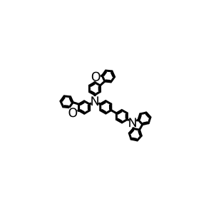 c1ccc2c(c1)oc1ccc(N(c3ccc(-c4ccc(-n5c6ccccc6c6ccccc65)cc4)cc3)c3ccc4oc5ccccc5c4c3)cc12